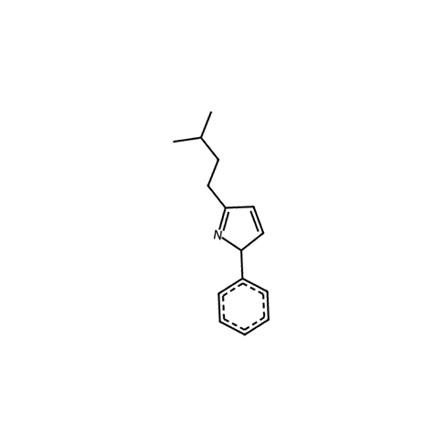 CC(C)CCC1=NC(c2ccccc2)C=C1